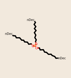 CCCCCCCCCCCCCCCCCCCCOP(OCCCCCCCCCCCCCCCCCCCC)OCCCCCCCCCCCCCCCCCCCC